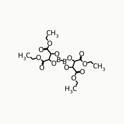 CCOC(=O)C1OB(B2OC(C(=O)OCC)C(C(=O)OCC)O2)OC1C(=O)OCC